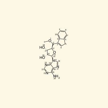 COC(C1=CCc2ccccc21)[C@H]1O[C@@H](n2cnc3c(N)ncnc32)[C@H](O)[C@@H]1O